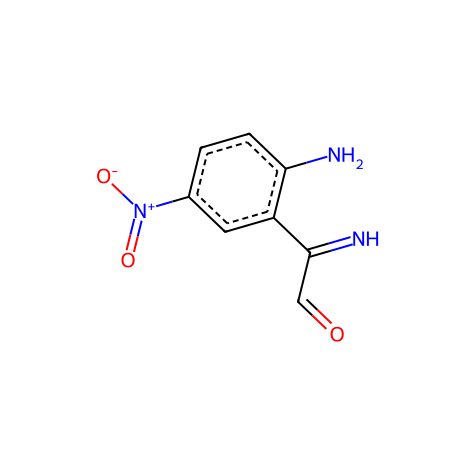 N=C(C=O)c1cc([N+](=O)[O-])ccc1N